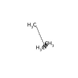 CCCCCCCCCCCCCCCCCC1N(C)CCN1C